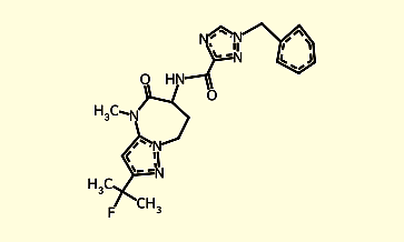 CN1C(=O)C(NC(=O)c2ncn(Cc3ccccc3)n2)CCn2nc(C(C)(C)F)cc21